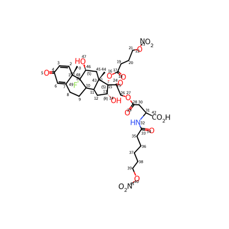 C[C@]12C=CC(=O)C=C1CCC1C3C[C@@H](O)[C@](OC(=O)CCCO[N+](=O)[O-])(C(=O)COC(=O)CC(NC(=O)CCCCCO[N+](=O)[O-])C(=O)O)[C@@]3(C)C[C@H](O)[C@@]12F